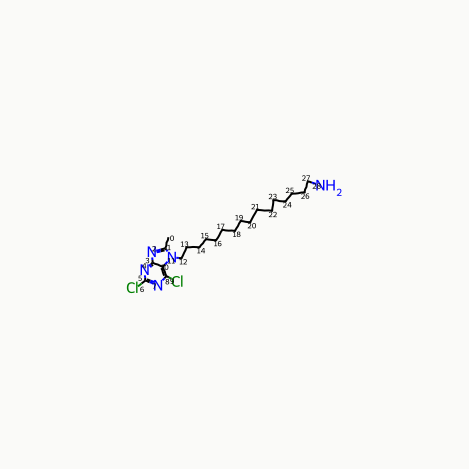 Cc1nc2nc(Cl)nc(Cl)c2n1CCCCCCCCCCCCCCCCN